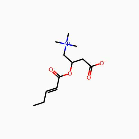 CC/C=C/C(=O)OC(CC(=O)[O-])C[N+](C)(C)C